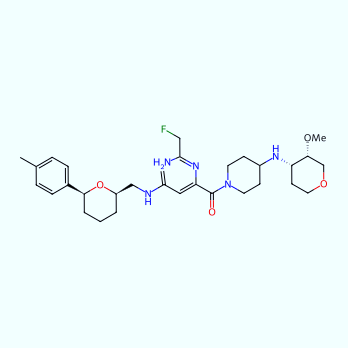 C=C(/C=C(\N=C(/N)CF)C(=O)N1CCC(N[C@H]2CCOC[C@H]2OC)CC1)NC[C@H]1CCC[C@@H](c2ccc(C)cc2)O1